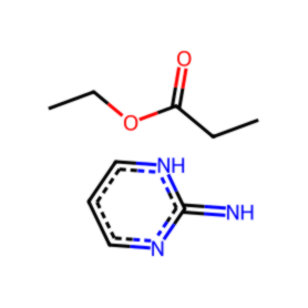 CCOC(=O)CC.N=c1nccc[nH]1